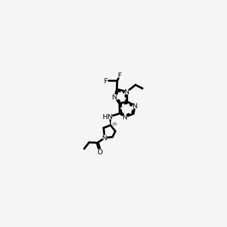 CCC(=O)N1CC[C@H](Nc2ncnc3c2nc(C(F)F)n3CC)C1